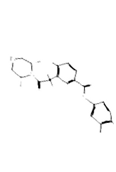 Cc1cc(NC(=O)c2ccc(F)c(C(F)(F)C(=O)N3[C@H](C)CNC[C@@H]3C)c2)ccc1F